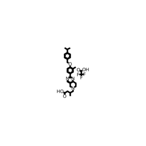 Cc1cc(-c2ncc3c(n2)CCN(CC(C)CC(=O)O)C3)ccc1OCc1ccc(C(C)C)cc1.O=C(O)C(F)(F)F